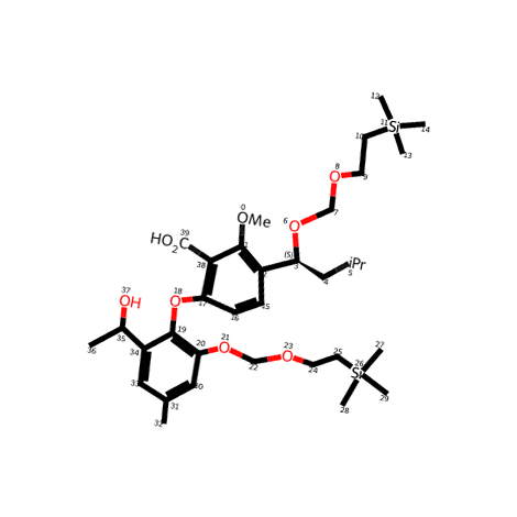 COc1c([C@H](CC(C)C)OCOCC[Si](C)(C)C)ccc(Oc2c(OCOCC[Si](C)(C)C)cc(C)cc2C(C)O)c1C(=O)O